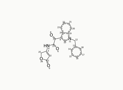 O=C1C=C(NC(=O)C(=O)c2cn(Cc3ccccc3)c3ccccc23)CO1